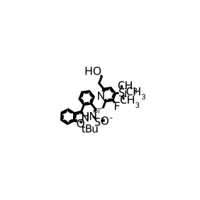 CC(C)(C)[S+]([O-])N[C@@H](Cc1nc(CCO)cc([Si](C)(C)C)c1F)c1ccccc1-c1noc2ccccc12